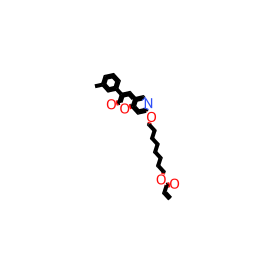 C=CC(=O)OCCCCCCCCOc1cc2oc(=O)c(-c3cccc(C)c3)cc2cn1